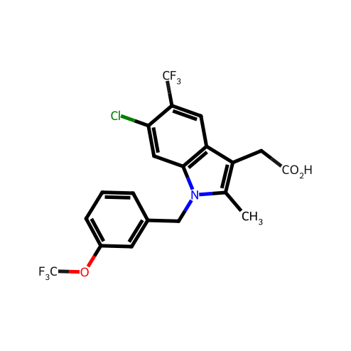 Cc1c(CC(=O)O)c2cc(C(F)(F)F)c(Cl)cc2n1Cc1cccc(OC(F)(F)F)c1